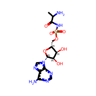 CC(N)C(=O)NS(=O)(=O)OC[C@H]1O[C@@H](n2cnc3c(N)ncnc32)[C@H](O)[C@@H]1O